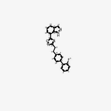 Fc1ccccc1-c1ccc(CCc2noc(-c3cccc4cn[nH]c34)n2)cc1